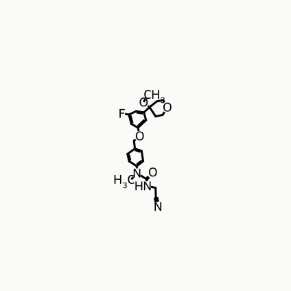 COC1(c2cc(F)cc(OCc3ccc(N(C)C(=O)NCC#N)cc3)c2)CCOCC1